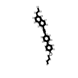 CCCCOc1ccc(-c2ccc(C#Cc3ccc4cc(CCC)ccc4c3)cc2)cc1